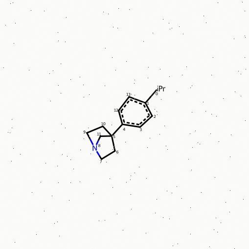 CC(C)c1ccc(C23CCN(CC2)C3)cc1